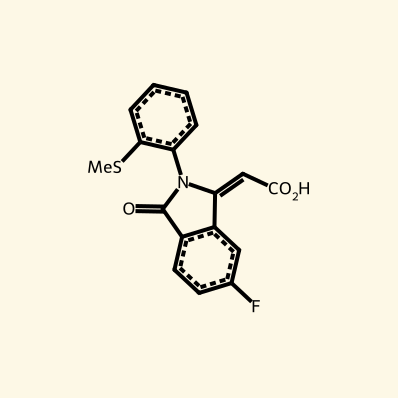 CSc1ccccc1N1C(=O)c2ccc(F)cc2/C1=C\C(=O)O